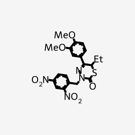 CCC1SC(=O)N(Cc2ccc([N+](=O)[O-])cc2[N+](=O)[O-])N=C1c1ccc(OC)c(OC)c1